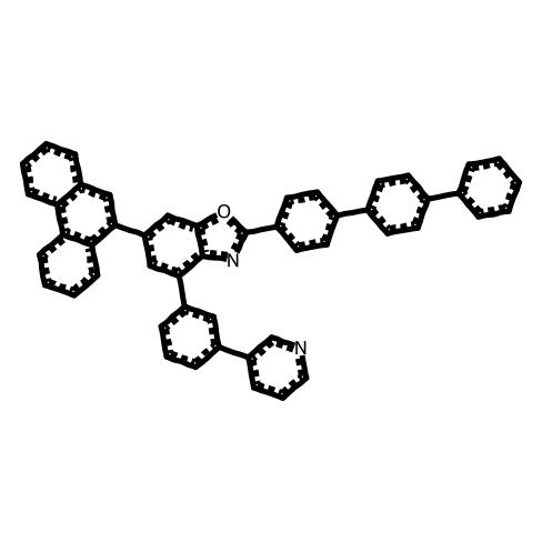 c1ccc(-c2ccc(-c3ccc(-c4nc5c(-c6cccc(-c7cccnc7)c6)cc(-c6cc7ccccc7c7ccccc67)cc5o4)cc3)cc2)cc1